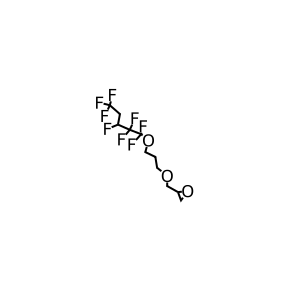 FC(CC(F)(F)F)C(F)(F)C(F)(F)OCCCOCC1CO1